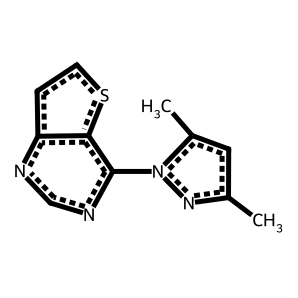 Cc1cc(C)n(-c2ncnc3ccsc23)n1